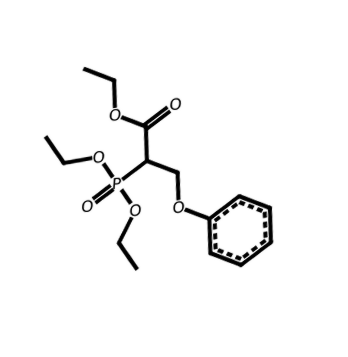 CCOC(=O)C(COc1ccccc1)P(=O)(OCC)OCC